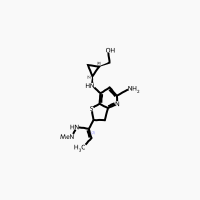 C/C=C(\NNC)C1Cc2nc(N)cc(N[C@H]3C[C@H]3CO)c2S1